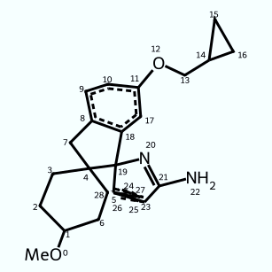 COC1CCC2(CC1)Cc1ccc(OCC3CC3)cc1C21N=C(N)c2ccccc21